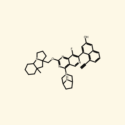 C#Cc1cccc2cc(O)cc(-c3ncc4c(N5CC6CCC(C5)N6)nc(OCC56CCCN5C5CCCCC5(C)C6)nc4c3F)c12